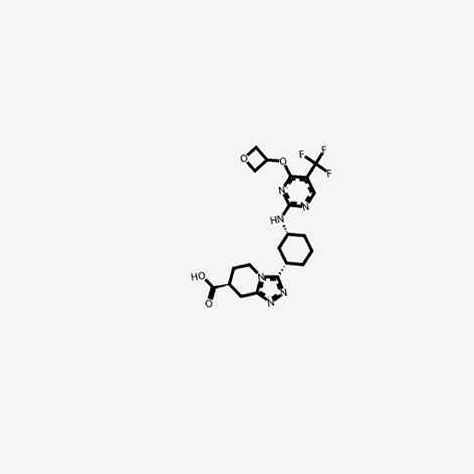 O=C(O)[C@H]1CCn2c(nnc2[C@H]2CCC[C@@H](Nc3ncc(C(F)(F)F)c(OC4COC4)n3)C2)C1